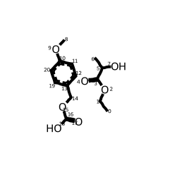 CCOC(=O)C(C)O.COc1ccc(COC(=O)O)cc1